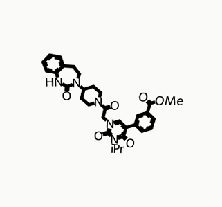 COC(=O)c1cccc(-c2cn(CC(=O)N3CCC(N4CCc5ccccc5NC4=O)CC3)c(=O)n(C(C)C)c2=O)c1